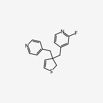 Fc1cc(CC2(Cc3ccncc3)C=CSC2)ccn1